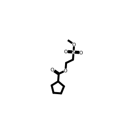 COS(=O)(=O)CCOC(=O)C1CCCC1